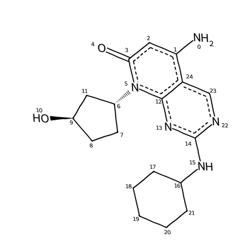 Nc1cc(=O)n([C@@H]2CC[C@@H](O)C2)c2nc(NC3CCCCC3)ncc12